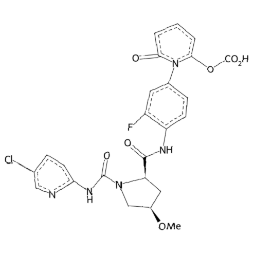 CO[C@@H]1C[C@H](C(=O)Nc2ccc(-n3c(OC(=O)O)cccc3=O)cc2F)N(C(=O)Nc2ccc(Cl)cn2)C1